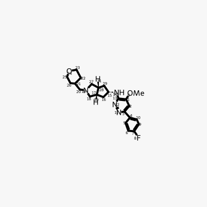 COc1cc(-c2ccc(F)cc2)nnc1N[C@@H]1C[C@@H]2CN(CC3CCOCC3)C[C@@H]2C1